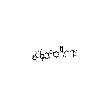 CCn1c(-c2nonc2N)nc2cnc(Oc3cccc(NC(=O)CCCNC)c3)cc21